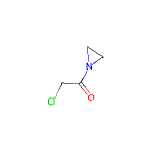 O=C(CCl)N1CC1